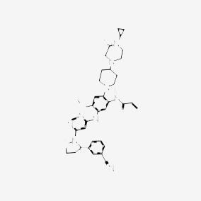 C=CC(=O)Nc1cc(Nc2cc(N3OCC[C@@H]3c3cccc(C#N)c3)ncn2)c(OC)cc1N1CCC(N2CCN(C3CC3)[C@H](C)C2)CC1